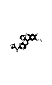 Nc1cc(C2=Cc3cnc(NC4COC4)nc3N3CCN=C23)c(Br)cc1F